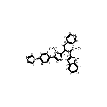 CCCn1c(-c2ccc(-n3ccnc3)cc2)cnc1C(Cc1ccncc1)N(C=O)c1cc2ccccc2[nH]1